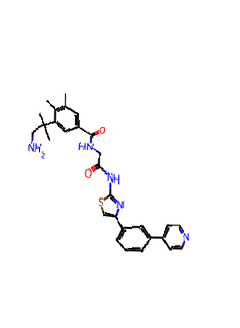 Cc1cc(C(=O)NCC(=O)Nc2nc(-c3cccc(-c4ccncc4)c3)cs2)cc(C(C)(C)CN)c1C